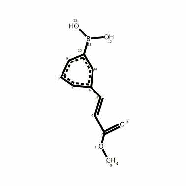 COC(=O)C=Cc1cccc(B(O)O)c1